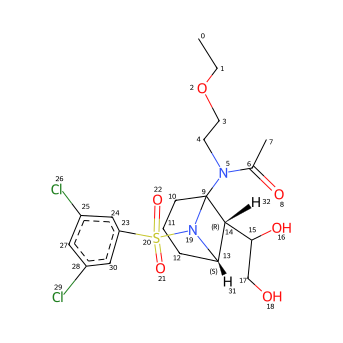 CCOCCN(C(C)=O)C12CCC[C@@H]([C@H]1C(O)CO)N2S(=O)(=O)c1cc(Cl)cc(Cl)c1